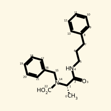 C[C@@H](C(=O)NCCCc1ccccc1)N(Cc1ccccc1)C(=O)O